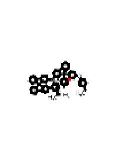 C=Cc1ccc(Oc2ccc(C3(c4c(C)cc(F)cc4F)c4ccccc4-c4ccc(N(c5ccc(C(=C)C)cc5)c5ccc6c(c5)C5(c7ccccc7-c7ccc(C)cc75)c5ccccc5-6)cc43)cc2)cc1